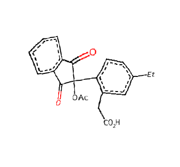 CCc1ccc(C2(OC(C)=O)C(=O)c3ccccc3C2=O)c(CC(=O)O)c1